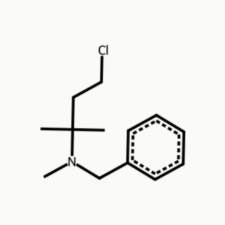 CN(Cc1ccccc1)C(C)(C)CCCl